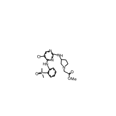 COC(=O)CN1CCC(Nc2ncc(Cl)c(Nc3ccccc3P(C)(C)=O)n2)C1